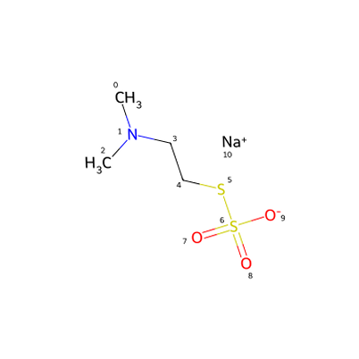 CN(C)CCSS(=O)(=O)[O-].[Na+]